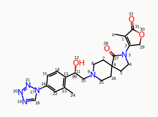 CC1=C(N2CCC3(CCN(C[C@H](O)c4ccc(-n5cnnn5)cc4C)CC3)C2=O)COC1=O